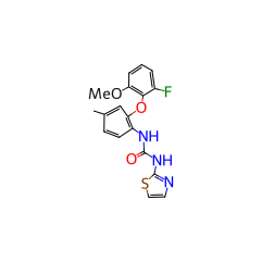 COc1cccc(F)c1Oc1cc(C)ccc1NC(=O)Nc1nccs1